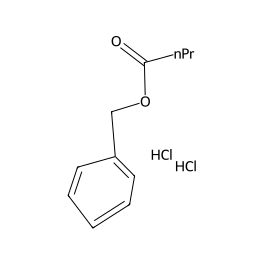 CCCC(=O)OCc1ccccc1.Cl.Cl